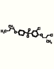 CC[C@H](C)COc1ccc(S(=O)(=O)c2ccc(OC[C@@H](C)CCl)c(Cl)c2)cc1